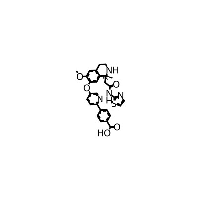 COc1cc2c(cc1Oc1ccc(-c3ccc(C(=O)O)cc3)nc1)[C@@](C)(CC(=O)Nc1nccs1)NCC2